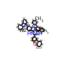 CC1C=CC2C(C1)C1CC(C)C=CC1N2C1CC(N2C3CCCCC3C3CCCCC32)=C(C#N)C=C1C1=NC(C2CC=CCC2)NC(C2CCC3OC4CCCCC4C3C2)N1